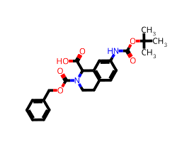 CC(C)(C)OC(=O)Nc1ccc2c(c1)C(C(=O)O)N(C(=O)OCc1ccccc1)CC2